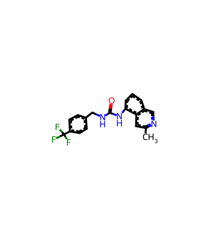 Cc1cc2c(NC(=O)NCc3ccc(C(F)(F)F)cc3)cccc2cn1